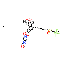 CC12CCC3c4ccc(OC(=O)N5CCC(N6CCCOCC6)CC5)cc4CC(CCCCCCCCC[S+]([O-])CCCC(F)(F)C(F)(F)F)C3C1CCC2O